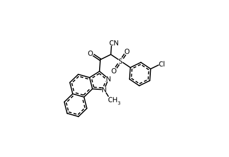 Cn1nc(C(=O)C(C#N)S(=O)(=O)c2cccc(Cl)c2)c2ccc3ccccc3c21